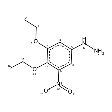 CCOc1cc(NN)cc([N+](=O)[O-])c1OCC